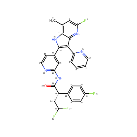 Cc1cc(F)nc2c(-c3ccccn3)c(-c3ccnc(NC(=O)[C@@H](CC(F)F)c4ccc(F)cc4)c3)[nH]c12